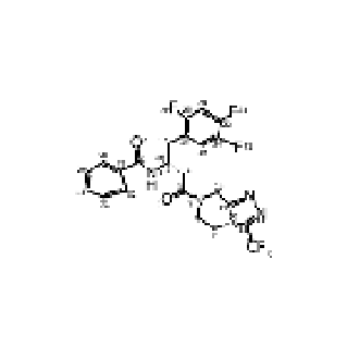 O=C(N[C@@H](CC(=O)N1CCn2c(nnc2C(F)(F)F)C1)Cc1cc(F)c(F)cc1F)c1ccccc1